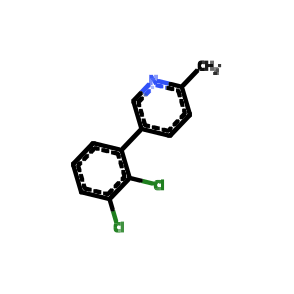 [CH2]c1ccc(-c2cccc(Cl)c2Cl)cn1